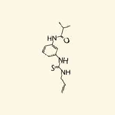 C=CCNC(=S)Nc1cccc(NC(=O)C(C)C)c1